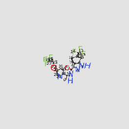 CC(NC(=O)c1n[nH]c2cc(C(F)(F)F)ccc12)c1ccc(OCC(F)(F)F)cn1